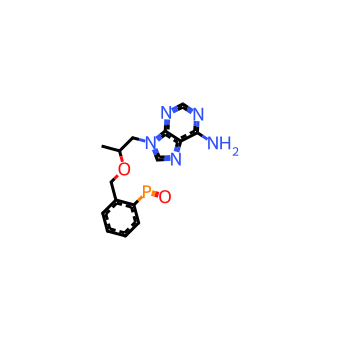 CC(Cn1cnc2c(N)ncnc21)OCc1ccccc1P=O